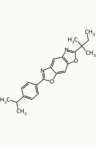 CCC(C)(C)c1nc2cc3nc(-c4ccc(C(C)C)cc4)oc3cc2o1